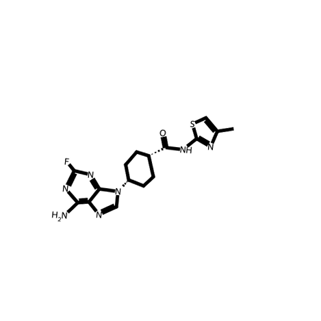 Cc1csc(NC(=O)[C@H]2CC[C@@H](n3cnc4c(N)nc(F)nc43)CC2)n1